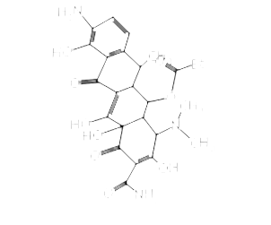 CCC(=O)OC1C2C(=C(O)C3(O)C(=O)C(C(N)=O)=C(O)C(N(C)C)C13)C(=O)c1c(ccc(N)c1O)C2C